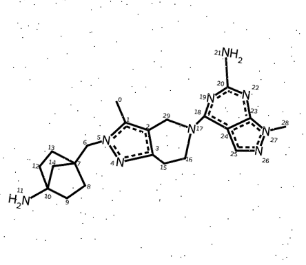 Cc1c2c(nn1CC13CCC(N)(CC1)C3)CCN(c1nc(N)nc3c1cnn3C)C2